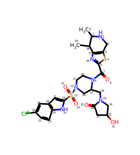 CC1NCc2sc(C(=O)N3CCN(S(=O)(=O)c4cc5cc(Cl)ccc5[nH]4)CC3CN3CC(O)CC3=O)nc2C1C